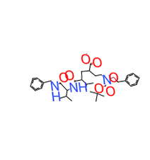 COC(=O)C(CCN(OCc1ccccc1)C(=O)OC(C)(C)C)CC(C(=O)NC(C(=O)NCc1ccccc1)C(C)C)C(C)C